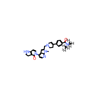 [2H]C([2H])([2H])N(C(=O)c1ccc(C2=CCN(Cc3cc4c(-n5ccc6c(c5=O)CCN6)ccnc4n3C)CC2)cc1)C([2H])([2H])[2H]